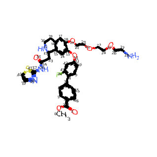 COC(=O)c1ccc(-c2ccc(Oc3cc4c(cc3OCCOCCOCCN)CCNC4CC(=O)Nc3nccs3)cc2F)cc1